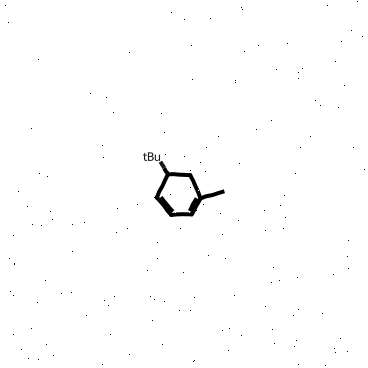 CC1=CC=C[C](C(C)(C)C)C1